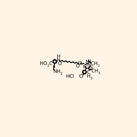 Cc1sc2c(c1C)C(c1ccc(Cl)cc1)=N[C@@H](CCOC(=O)CCCCCCCCCC(=O)Nc1ccc(C(=O)O)c(C#CCN)c1)c1nnc(C)n1-2.Cl